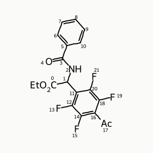 CCOC(=O)C(NC(=O)c1ccccc1)c1c(F)c(F)c(C(C)=O)c(F)c1F